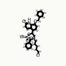 CC(C)(C)[Si](C)(C)OC(CN(CCCCCCl)Cc1ccccc1)c1ccc(OCc2ccccc2)c2[nH]c(=O)ccc12